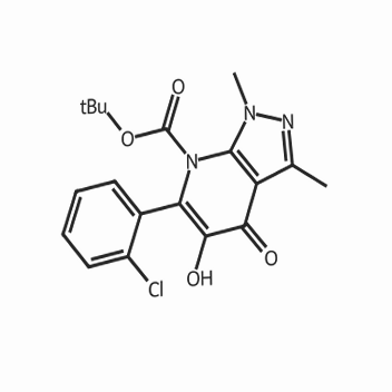 Cc1nn(C)c2c1c(=O)c(O)c(-c1ccccc1Cl)n2C(=O)OC(C)(C)C